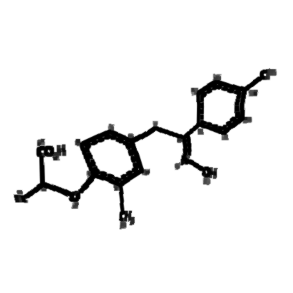 CCC(Oc1ccc(CC(=NO)c2ccc(Cl)cc2)cc1C)C(=O)O